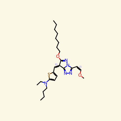 CCCCCCCCOc1nn2c(/C=C\OC)nnc2/c1=C\c1ccc(N(CC)CCCC)s1